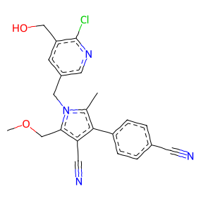 COCc1c(C#N)c(-c2ccc(C#N)cc2)c(C)n1Cc1cnc(Cl)c(CO)c1